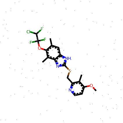 COc1ccnc(CSc2nc3c(C)c(OC(F)(F)C(F)Cl)c(C)cc3[nH]2)c1C